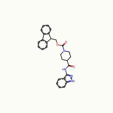 O=C(Nc1n[nH]c2ccccc12)C1CCN(C(=O)OCC2c3ccccc3-c3ccccc32)CC1